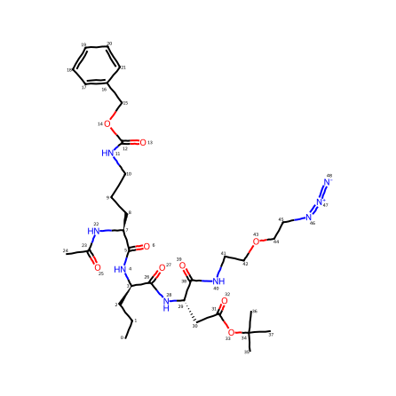 CCC[C@@H](NC(=O)[C@H](CCCNC(=O)OCc1ccccc1)NC(C)=O)C(=O)N[C@@H](CC(=O)OC(C)(C)C)C(=O)NCCOCCN=[N+]=[N-]